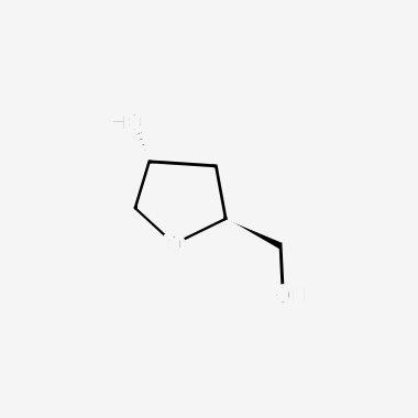 OC[C@@H]1C[C@@H](O)CO1